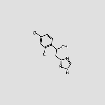 OC(Cc1nc[nH]n1)c1ccc(Cl)cc1Cl